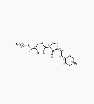 O=C(O)COC1CCC(N2CCN(CCC3CCNCC3)C2=O)CC1